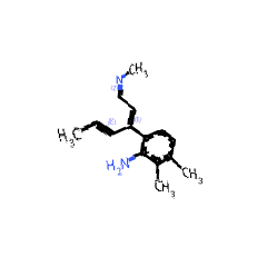 C/C=C/C(=C\C=N/C)c1ccc(C)c(C)c1N